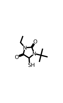 CCN1C(=O)C(S)N(C(C)(C)C)C1=O